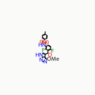 COc1ncnc2[nH]cc(C(=O)c3c(F)ccc(NS(=O)(=O)c4ccc(C)cc4)c3F)c12